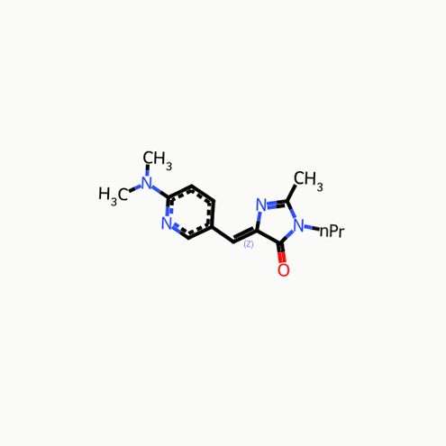 CCCN1C(=O)/C(=C/c2ccc(N(C)C)nc2)N=C1C